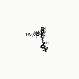 C[C@H](CC(=O)O)CC(O)c1c(CCCCCC(O)c2cccc(C(=O)N(C)C)c2)n(C)c2ncc(C#N)cc12